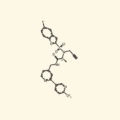 C#CCN([C@@H](C)C(=O)NCc1ccnc(-c2ccc(C(F)(F)F)nc2)c1)S(=O)(=O)c1cc2cc(F)ccc2o1